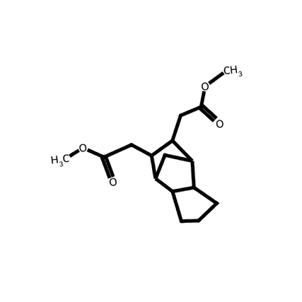 COC(=O)CC1C(CC(=O)OC)C2CC1C1CCCC12